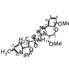 COC[C@H]1COc2c(OC)cccc2-c2nnc(NS(=O)(=O)[C@@H](C)[C@@H](OC(C)C)c3ncc(C)cn3)n21